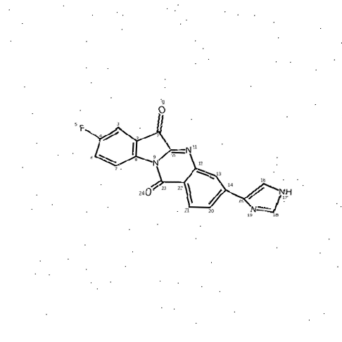 O=C1c2cc(F)ccc2-n2c1nc1cc(-c3c[nH]cn3)ccc1c2=O